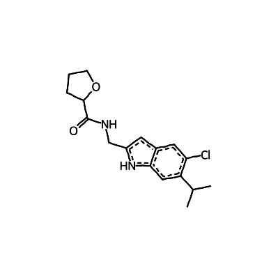 CC(C)c1cc2[nH]c(CNC(=O)C3CCCO3)cc2cc1Cl